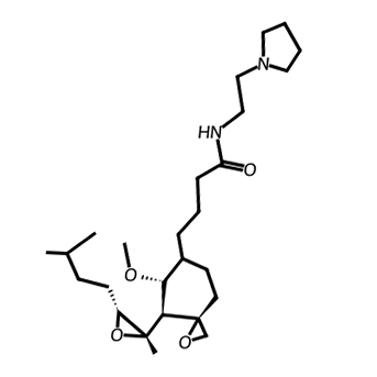 CO[C@@H]1C(CCCC(=O)NCCN2CCCC2)CC[C@]2(CO2)[C@H]1[C@]1(C)O[C@@H]1CCC(C)C